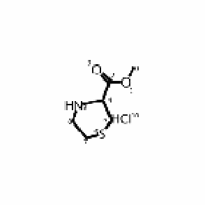 COC(=O)C1CSCCN1.Cl